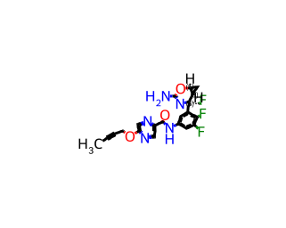 CC#CCOc1cnc(C(=O)Nc2cc(F)c(F)c([C@@]3(CF)N=C(N)O[C@H]4C[C@H]43)c2)cn1